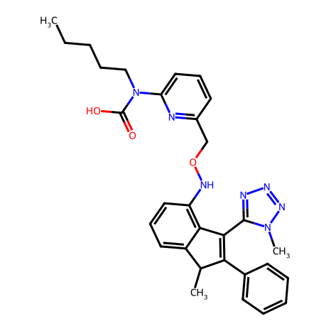 CCCCCN(C(=O)O)c1cccc(CONc2cccc3c2C(c2nnnn2C)=C(c2ccccc2)C3C)n1